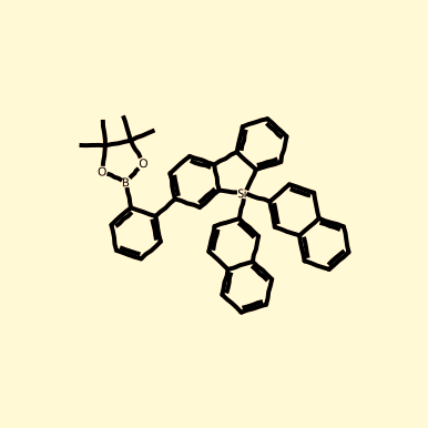 CC1(C)OB(c2ccccc2-c2ccc3c(c2)[Si](c2ccc4ccccc4c2)(c2ccc4ccccc4c2)c2ccccc2-3)OC1(C)C